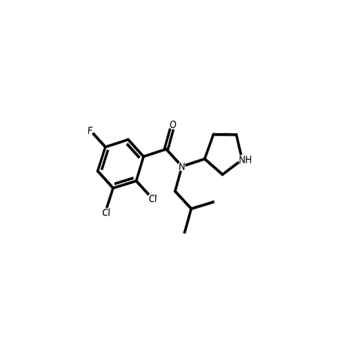 CC(C)CN(C(=O)c1cc(F)cc(Cl)c1Cl)C1CCNC1